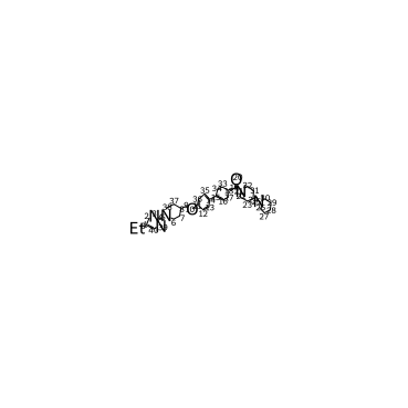 CCc1cnc(N2CCC(COc3ccc(C4=CCC(C(=O)N5CCC(N6CCCCC6)CC5)CC4)cc3)CC2)nc1